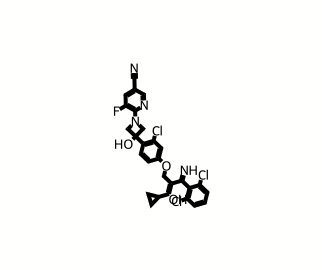 N#Cc1cnc(N2CC(O)(c3ccc(OC/C(C(=N)c4c(Cl)cccc4Cl)=C(/O)C4CC4)cc3Cl)C2)c(F)c1